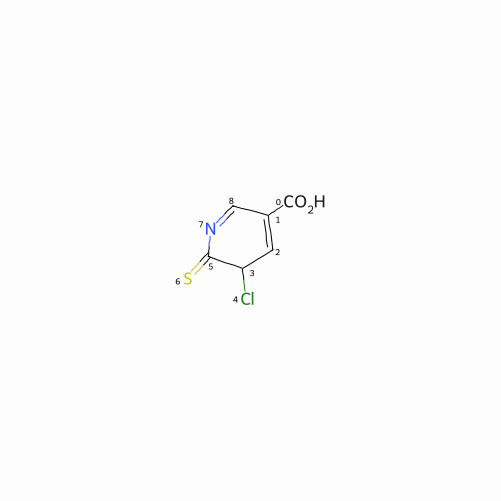 O=C(O)C1=CC(Cl)C(=S)N=C1